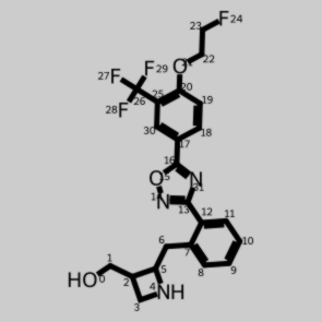 OCC1CNC1Cc1ccccc1-c1noc(-c2ccc(OCCF)c(C(F)(F)F)c2)n1